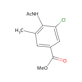 COC(=O)c1cc(C)c(NC(C)=O)c(Cl)c1